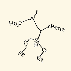 CCCCCC(N(C)C(=O)O)[SiH](OCC)OCC